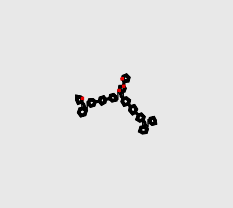 c1ccc(-c2ccc(N(c3ccc(-c4ccc(-c5ccc(N(c6ccccc6)c6ccccc6)cc5)cc4)cc3)c3ccc(-c4ccc(-c5ccc(N(c6ccccc6)c6ccccc6)cc5)cc4)cc3)cc2)cc1